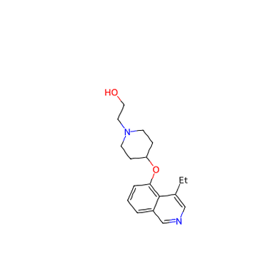 CCc1cncc2cccc(OC3CCN(CCO)CC3)c12